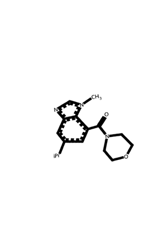 CC(C)c1cc(C(=O)N2CCOCC2)c2c(c1)ncn2C